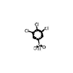 O=[SH](=O)c1cc(Cl)c(Cl)c(Cl)c1